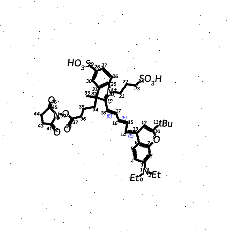 CCN(CC)c1ccc2c(c1)OC(C(C)(C)C)=C\C2=C/C=C/C=C/C1=[N+](CCCS(=O)(=O)O)c2ccc(S(=O)(=O)O)cc2C1(C)CCCC(=O)ON1C(=O)CCC1=O